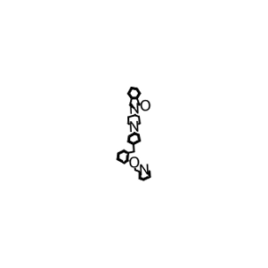 O=C1c2ccccc2CN1C1CCN(c2ccc(Cc3ccccc3OCc3ccccn3)cc2)CC1